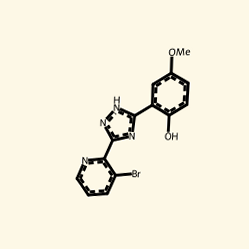 COc1ccc(O)c(-c2nc(-c3ncccc3Br)n[nH]2)c1